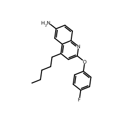 CCCCCc1cc(Oc2ccc(F)cc2)nc2ccc(N)cc12